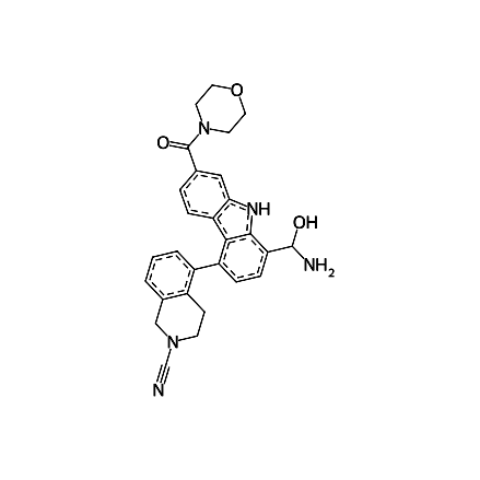 N#CN1CCc2c(cccc2-c2ccc(C(N)O)c3[nH]c4cc(C(=O)N5CCOCC5)ccc4c23)C1